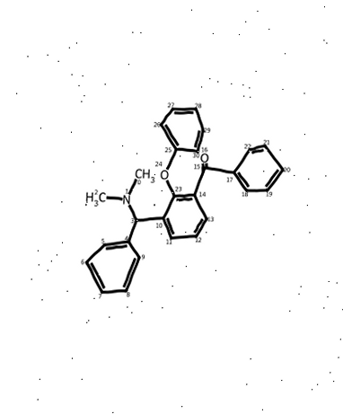 CN(C)C(c1ccccc1)c1cccc(C(=O)c2ccccc2)c1Oc1ccccc1